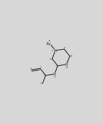 C=CC(C)OC1CN(C(C)=O)CCO1